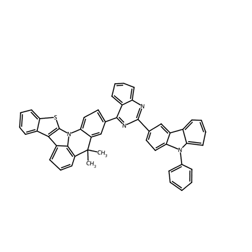 CC1(C)c2cc(-c3nc(-c4ccc5c(c4)c4ccccc4n5-c4ccccc4)nc4ccccc34)ccc2-n2c3sc4ccccc4c3c3cccc1c32